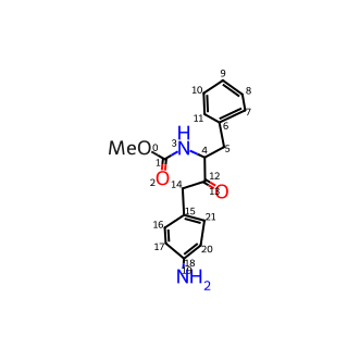 COC(=O)NC(Cc1ccccc1)C(=O)Cc1ccc(N)cc1